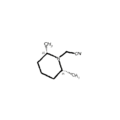 C[C@@H]1CCC[C@H](C)N1CC#N